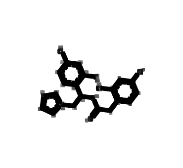 O=C(Cc1ccc(Cl)cc1Cl)SC(Cn1ccnc1)c1ccc(Cl)cc1Cl